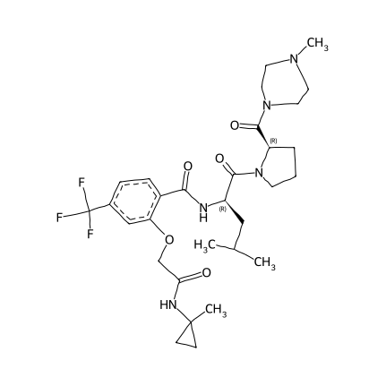 CC(C)C[C@@H](NC(=O)c1ccc(C(F)(F)F)cc1OCC(=O)NC1(C)CC1)C(=O)N1CCC[C@@H]1C(=O)N1CCN(C)CC1